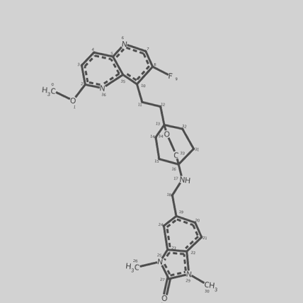 COc1ccc2ncc(F)c(CCC34CCC(NCc5ccc6c(c5)n(C)c(=O)n6C)(CC3)CO4)c2n1